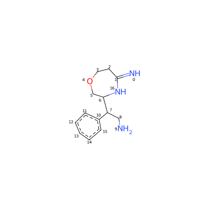 N=C1CCOCC(C(CN)c2ccccc2)N1